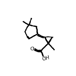 CC1(C)CCC(=C2CC2(C)C(=O)O)C1